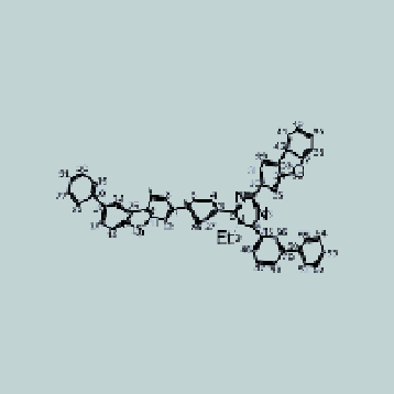 CC[C@@H]1C(c2ccc(-c3ccc4c(c3)sc3ccc(-c5ccccc5)cc34)cc2)=NC(c2ccc3c(c2)oc2ccccc23)=NC1c1cccc(-c2ccccc2)c1